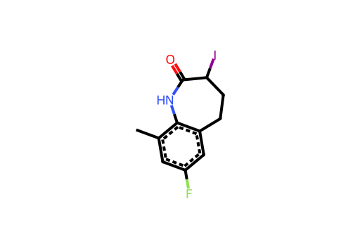 Cc1cc(F)cc2c1NC(=O)C(I)CC2